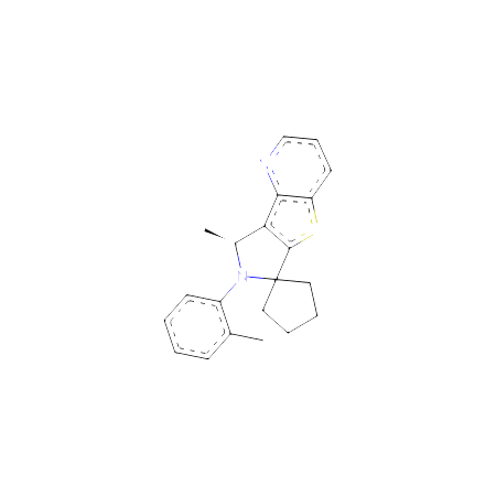 Cc1ccccc1N1[C@@H](C)c2c(sc3cccnc23)C12CCCC2